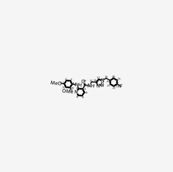 COc1ccc(Nc2ncccc2C(=O)NCc2cn(Cc3ccc(F)cc3)nn2)c(OC)c1